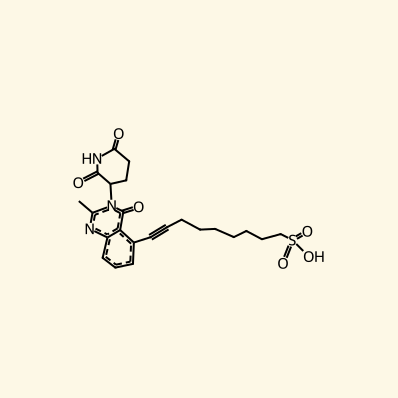 Cc1nc2cccc(C#CCCCCCCCS(=O)(=O)O)c2c(=O)n1C1CCC(=O)NC1=O